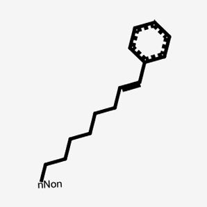 CCCCCCCCCCCCCCCC=Cc1cc[c]cc1